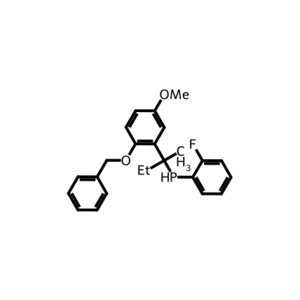 CCC(C)(Pc1ccccc1F)c1cc(OC)ccc1OCc1ccccc1